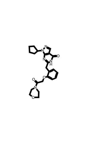 O=C(COc1ccccc1Cc1nc2c(cnn2C2CCCC2)c(=O)[nH]1)N1CCOCC1